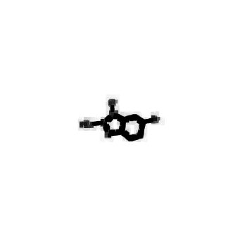 CCCCn1nc2ccc(Br)cc2[n+]1[O-]